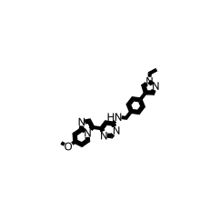 CCn1cc(-c2ccc(CNc3cc(-c4cnc5cc(OC)ccn45)ncn3)cc2)cn1